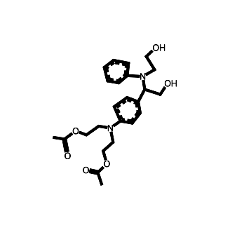 CC(=O)OCCN(CCOC(C)=O)c1ccc(C(CO)N(CCO)c2ccccc2)cc1